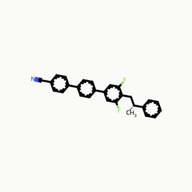 C[C@H](Cc1c(F)cc(-c2ccc(-c3ccc(C#N)cc3)cc2)cc1F)c1ccccc1